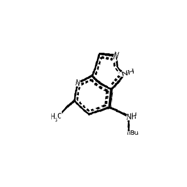 CCCCNc1cc(C)nc2cn[nH]c12